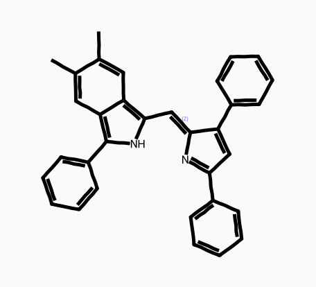 Cc1cc2c(/C=C3\N=C(c4ccccc4)C=C3c3ccccc3)[nH]c(-c3ccccc3)c2cc1C